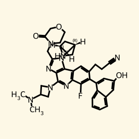 CN(C)C1CN(c2nc3c(F)c(-c4cc(O)cc5ccccc45)c(CCC#N)cc3c3c2nc(CN2CCOCC2=O)n3[C@H]2[C@H]3CN[C@@H]2C3)C1